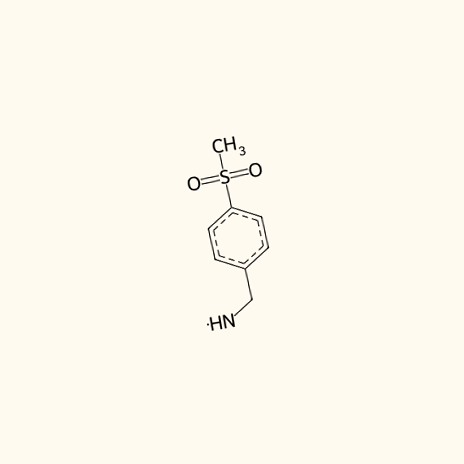 CS(=O)(=O)c1ccc(C[NH])cc1